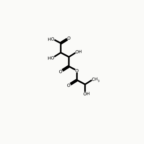 CC(O)C(=O)OC(=O)C(O)C(O)C(=O)O